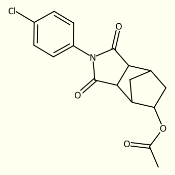 CC(=O)OC1CC2CC1C1C(=O)N(c3ccc(Cl)cc3)C(=O)C21